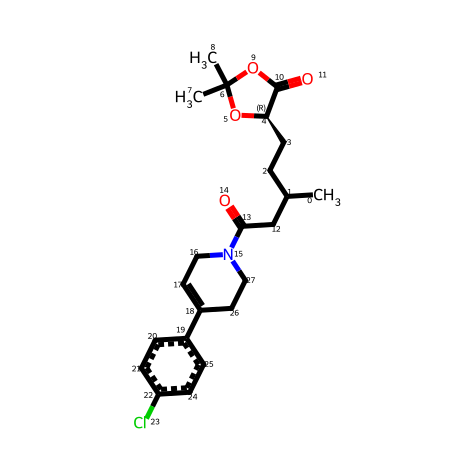 CC(CC[C@H]1OC(C)(C)OC1=O)CC(=O)N1CC=C(c2ccc(Cl)cc2)CC1